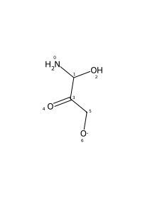 NC(O)C(=O)C[O]